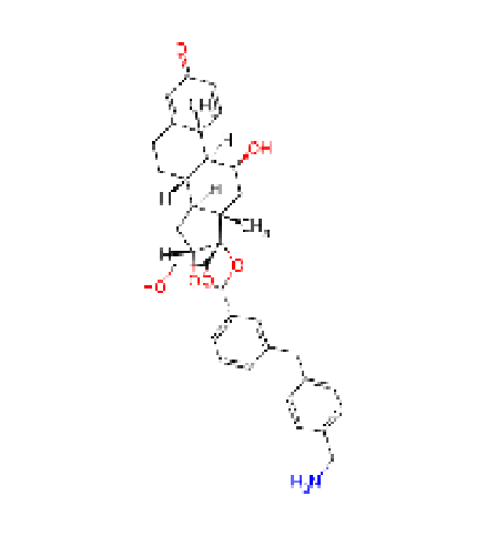 C[C@]12C=CC(=O)C=C1CC[C@@H]1[C@@H]2[C@@H](O)C[C@@]2(C)[C@H]1C[C@H]1O[C@@H](c3cccc(Cc4ccc(CN)cc4)c3)O[C@]12C(=O)CO